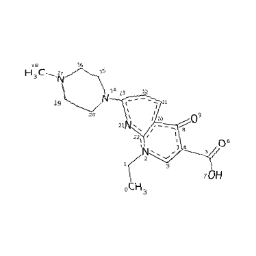 CCn1cc(C(=O)O)c(=O)c2ccc(N3CCN(C)CC3)nc21